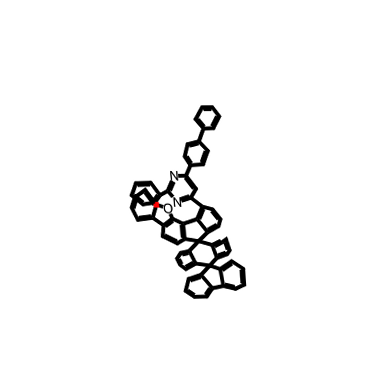 c1ccc(-c2ccc(-c3cc(-c4cccc5c4-c4c(ccc6c4oc4ccccc46)C54c5ccccc5C5(c6ccccc6-c6ccccc65)c5ccccc54)nc(-c4ccccc4)n3)cc2)cc1